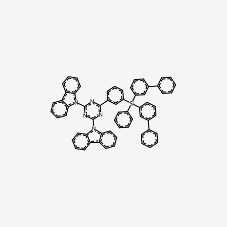 c1ccc(-c2cccc([Si](c3ccccc3)(c3cccc(-c4ccccc4)c3)c3cccc(-c4nc(-n5c6ccccc6c6ccccc65)nc(-n5c6ccccc6c6ccccc65)n4)c3)c2)cc1